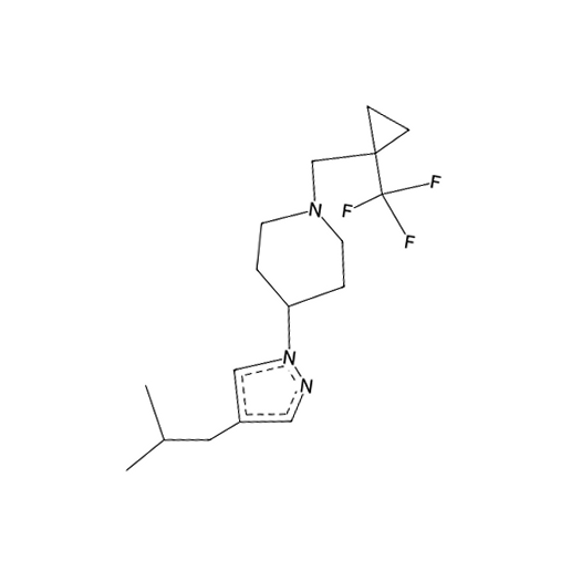 CC(C)Cc1cnn(C2CCN(CC3(C(F)(F)F)CC3)CC2)c1